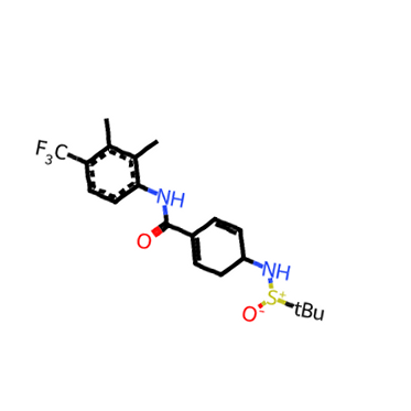 Cc1c(NC(=O)C2=CCC(N[S+]([O-])C(C)(C)C)C=C2)ccc(C(F)(F)F)c1C